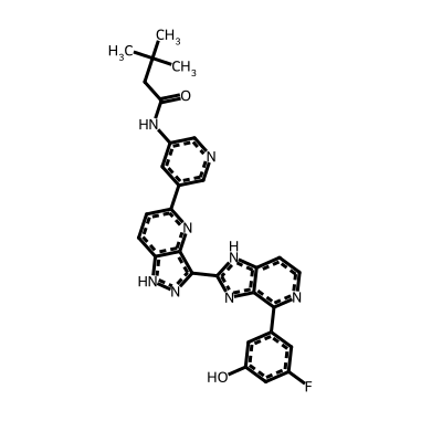 CC(C)(C)CC(=O)Nc1cncc(-c2ccc3[nH]nc(-c4nc5c(-c6cc(O)cc(F)c6)nccc5[nH]4)c3n2)c1